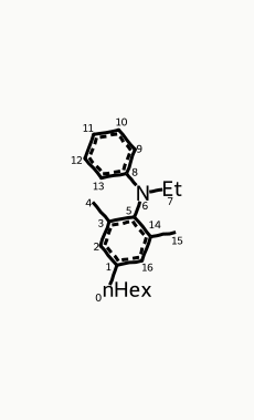 CCCCCCc1cc(C)c(N(CC)c2ccccc2)c(C)c1